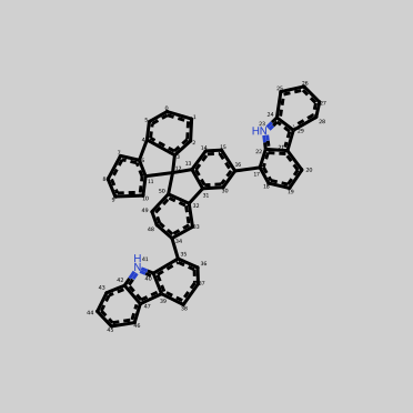 c1ccc2c(c1)-c1ccccc1C21c2ccc(-c3cccc4c3[nH]c3ccccc34)cc2-c2cc(-c3cccc4c3[nH]c3ccccc34)ccc21